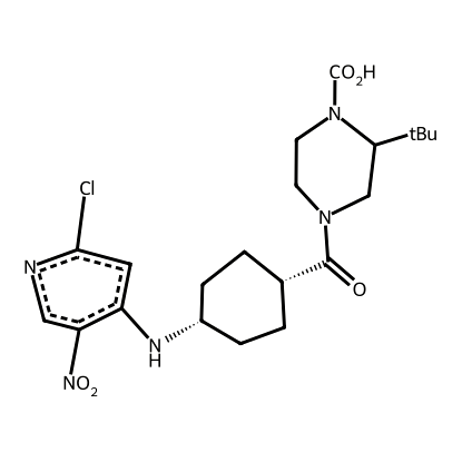 CC(C)(C)C1CN(C(=O)[C@H]2CC[C@@H](Nc3cc(Cl)ncc3[N+](=O)[O-])CC2)CCN1C(=O)O